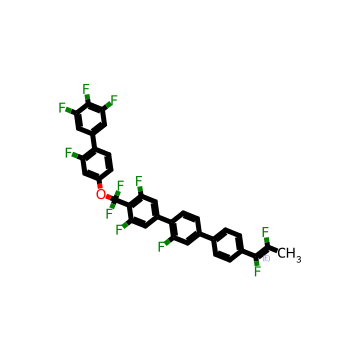 C/C(F)=C(\F)c1ccc(-c2ccc(-c3cc(F)c(C(F)(F)Oc4ccc(-c5cc(F)c(F)c(F)c5)c(F)c4)c(F)c3)c(F)c2)cc1